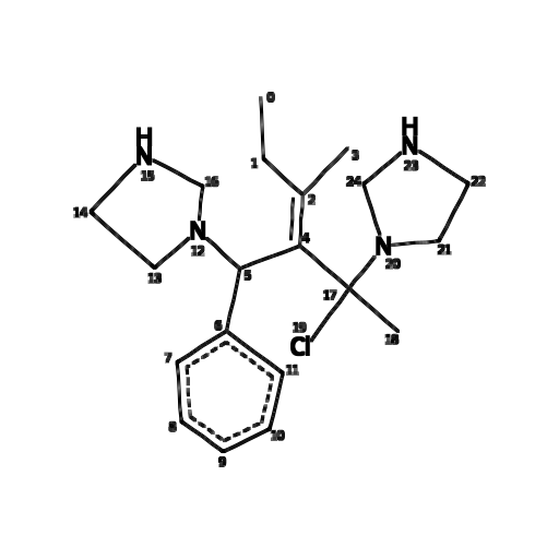 CCC(C)=C(C(c1ccccc1)N1CCNC1)C(C)(Cl)N1CCNC1